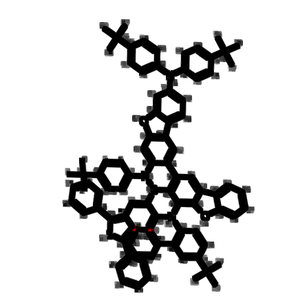 CC(C)(C)c1ccc(N2B3c4cc5c(-c6ccccc6)sc(-c6ccccc6)c5cc4N(c4ccc(C(C)(C)C)cc4-c4ccccc4)c4c3c(cc3c4oc4ccccc43)-c3cc4c(cc32)oc2cc(N(c3ccc(C(C)(C)C)cc3)c3ccc(C(C)(C)C)cc3)ccc24)cc1